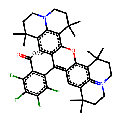 COC(=O)c1c(F)c(F)c(F)c(F)c1C1=c2cc3c4c(c2Oc2c1cc1c5c2C(C)(C)CCN5CCC1(C)C)C(C)(C)CC[N+]=4CCC3(C)C